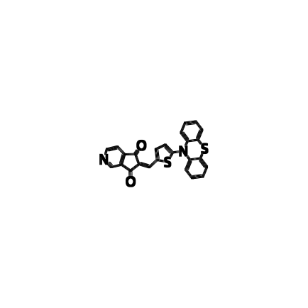 O=C1/C(=C\c2ccc(N3c4ccccc4Sc4ccccc43)s2)C(=O)c2cnccc21